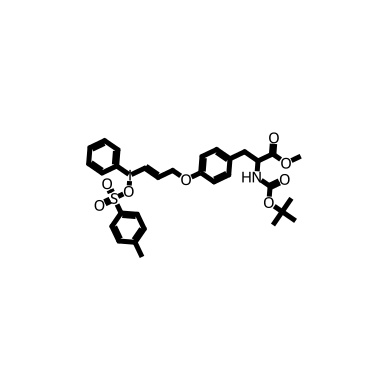 COC(=O)C(Cc1ccc(OC/C=C/I(OS(=O)(=O)c2ccc(C)cc2)c2ccccc2)cc1)NC(=O)OC(C)(C)C